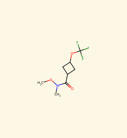 CON(C)C(=O)C1CC(OC(F)(F)F)C1